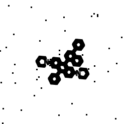 c1ccc(-c2ccc(-c3c4ccc(N5CCCCC5)cc4c(-c4ccccc4)c4ccc(N5CCCCC5)cc34)c3ccccc23)cc1